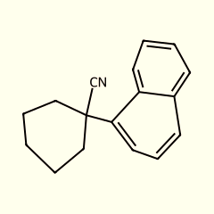 N#CC1(c2cccc3ccccc23)CCCCC1